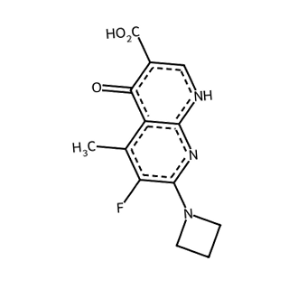 Cc1c(F)c(N2CCC2)nc2[nH]cc(C(=O)O)c(=O)c12